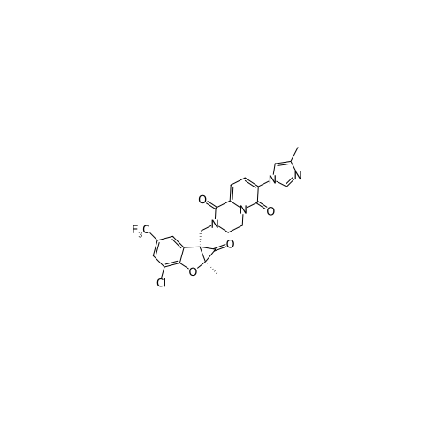 Cc1cn(-c2ccc3n(c2=O)CCN(C[C@]24C(=O)[C@@]2(C)Oc2c(Cl)cc(C(F)(F)F)cc24)C3=O)cn1